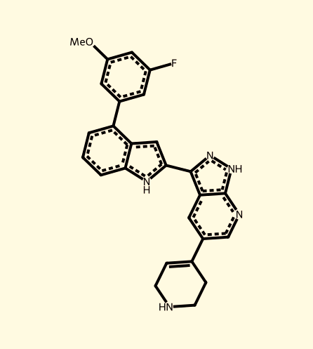 COc1cc(F)cc(-c2cccc3[nH]c(-c4n[nH]c5ncc(C6=CCNCC6)cc45)cc23)c1